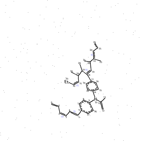 C=C/C=C\C=C\c1ccc(N(C(=C)C)c2ccc(/C(=C/C(C)/C(C)=C/C=C)C(C)C(C)/C=C\CC)cc2)cc1